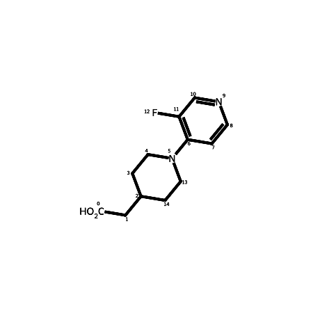 O=C(O)CC1CCN(c2ccncc2F)CC1